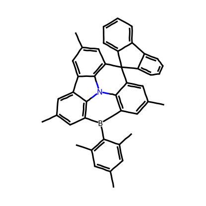 Cc1cc(C)c(B2c3cc(C)cc4c3-n3c5c2cc(C)cc5c2cc(C)cc(c23)C42c3ccccc3-c3ccccc32)c(C)c1